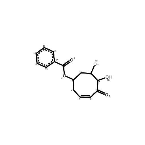 O=C(OC1C/C=C\C(=O)C(O)C(O)C1)c1ccccc1